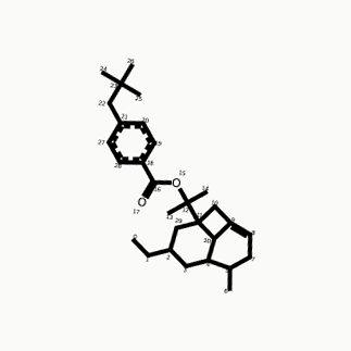 CCC1CC2C(C)CC=C3CC(C(C)(C)OC(=O)c4ccc(CC(C)(C)C)cc4)(C1)C32